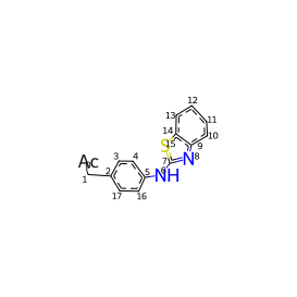 CC(=O)Cc1ccc(Nc2nc3ccccc3s2)cc1